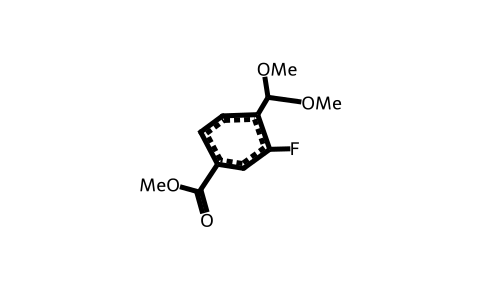 COC(=O)c1ccc(C(OC)OC)c(F)c1